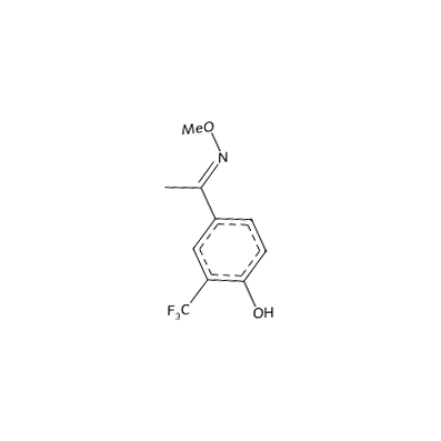 CO/N=C(\C)c1ccc(O)c(C(F)(F)F)c1